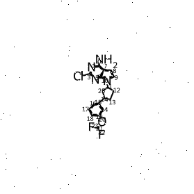 Nc1nc(Cl)nc2c1ccn2C1CCC(c2cccc(OC(F)F)c2)C1